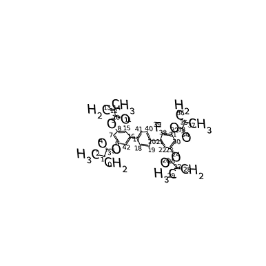 C=C(C)C(=O)Oc1cc(OC(=O)C(=C)C)cc(-c2ccc(-c3cc(OC(=O)C(=C)C)cc(OC(=O)C(=C)C)c3F)cc2)c1